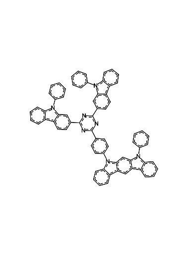 c1ccc(-n2c3ccccc3c3ccc(-c4nc(-c5ccc(-n6c7ccccc7c7cc8c9ccccc9n(-c9ccccc9)c8cc76)cc5)nc(-c5ccc6c7ccccc7n(-c7ccccc7)c6c5)n4)cc32)cc1